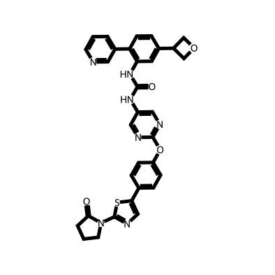 O=C(Nc1cnc(Oc2ccc(-c3cnc(N4CCCC4=O)s3)cc2)nc1)Nc1cc(C2COC2)ccc1-c1cccnc1